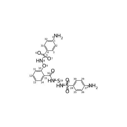 Nc1ccc(S(=O)(=O)NOc2ccccc2C(=O)NSNS(=O)(=O)c2ccc(N)cc2)cc1